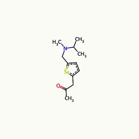 CC(=O)Cc1ccc(CN(C)C(C)C)s1